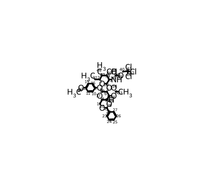 CCC1O[C@@H](OC2[C@H](Oc3ccc(OC)cc3)OC3COC(c4ccccc4)O[C@@H]3[C@@H]2OC(C)=O)C(NC(=O)OCC(Cl)(Cl)Cl)[C@@H](C)[C@@H]1C